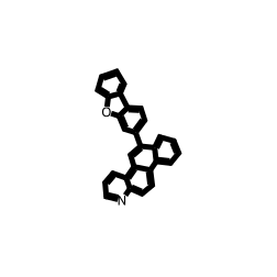 c1ccc2c(c1)oc1cc(-c3cc4c5cccnc5ccc4c4ccccc34)ccc12